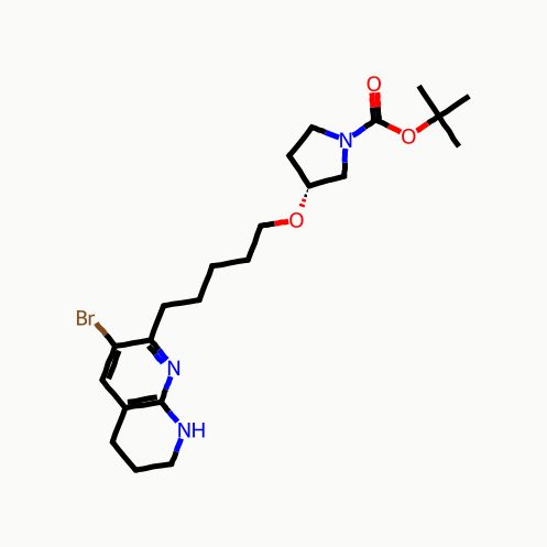 CC(C)(C)OC(=O)N1CC[C@@H](OCCCCCc2nc3c(cc2Br)CCCN3)C1